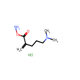 C=C(CCCN(C)C)C(=O)ON.Cl